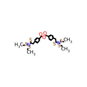 CCSN(SCC)C(=S)Cc1ccc(C(=O)OC(=O)c2ccc(CC(=S)N(SCC)SCC)cc2)cc1